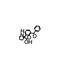 O=C(c1ccccc1)c1cccc([C@@]2(C(=O)O)CCCN2)c1